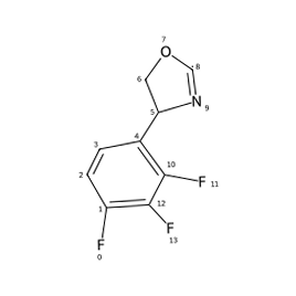 Fc1ccc(C2CO[C]=N2)c(F)c1F